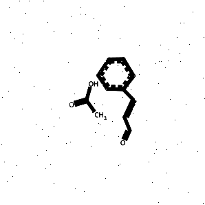 CC(=O)O.O=C/C=C/c1ccccc1